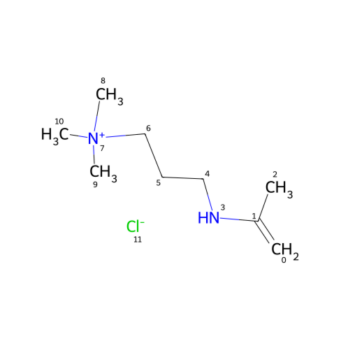 C=C(C)NCCC[N+](C)(C)C.[Cl-]